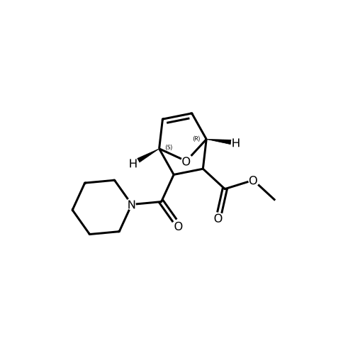 COC(=O)C1C(C(=O)N2CCCCC2)[C@@H]2C=C[C@H]1O2